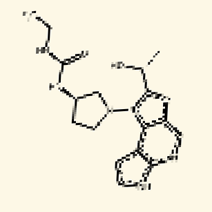 C[C@@H](O)c1nc2cnc3[nH]ccc3c2n1N1CC[C@@H](NC(=O)NCC(F)(F)F)C1